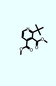 COC(=O)c1ccnc(C(C)(C)C)c1C(=O)OC